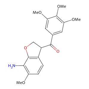 COc1ccc2c(c1N)OCC2C(=O)c1cc(OC)c(OC)c(OC)c1